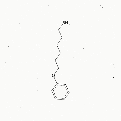 SCCCCCCOc1ccccc1